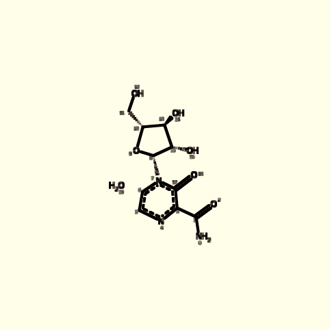 NC(=O)c1nccn([C@@H]2O[C@H](CO)[C@@H](O)[C@@H]2O)c1=O.O